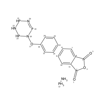 N.O=C1OC(=O)c2ccccc21.P.c1ccc(On2pn[pH][nH][pH]2)cc1